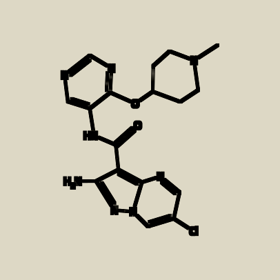 CN1CCC(Oc2ncncc2NC(=O)c2c(N)nn3cc(Cl)cnc23)CC1